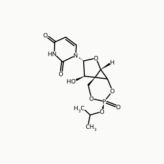 CC(C)O[P@@]1(=O)OC[C@]23C(O1)[C@H]2O[C@@H](n1ccc(=O)[nH]c1=O)[C@@H]3O